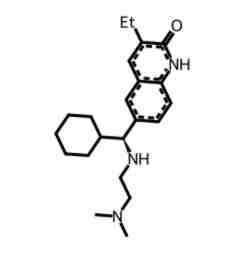 CCc1cc2cc([C@@H](NCCN(C)C)C3CCCCC3)ccc2[nH]c1=O